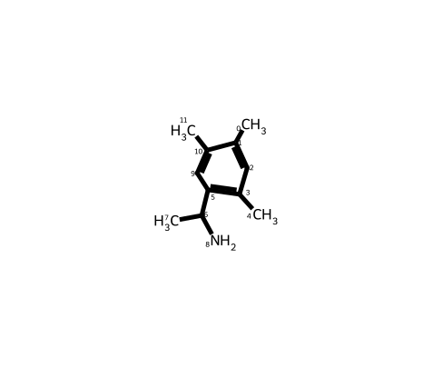 Cc1cc(C)c(C(C)N)cc1C